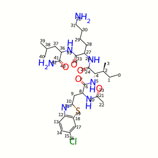 CC[C@H](C)[C@H](NC(=O)C(Cc1nc2ccc(Cl)cc2s1)NC(C)=O)C(=O)NC(CCCCN)C(=O)NC(CC(C)C)C(N)=O